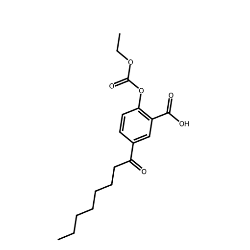 CCCCCCCC(=O)c1ccc(OC(=O)OCC)c(C(=O)O)c1